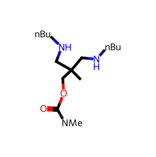 CCCCNCC(C)(CNCCCC)COC(=O)NC